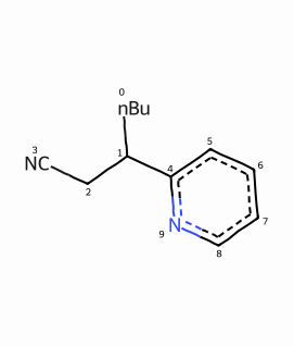 CCCCC(CC#N)c1ccccn1